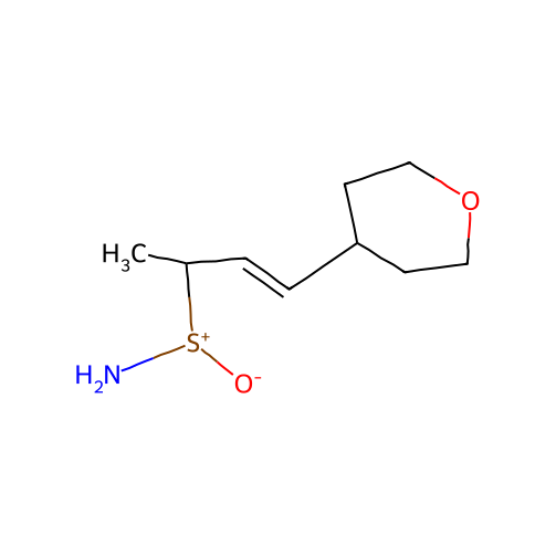 CC(C=CC1CCOCC1)[S+](N)[O-]